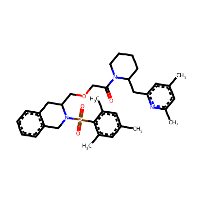 Cc1cc(C)nc(CC2CCCCN2C(=O)COCC2Cc3ccccc3CN2S(=O)(=O)c2c(C)cc(C)cc2C)c1